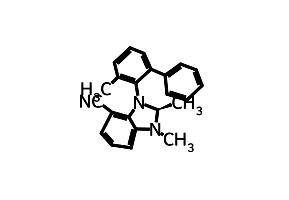 Cc1cccc(-c2ccccc2)c1N1c2c(C#N)cccc2N(C)[C@@H]1C